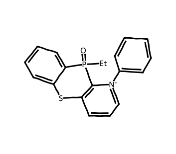 CCP1(=O)c2ccccc2Sc2ccc[n+](-c3ccccc3)c21